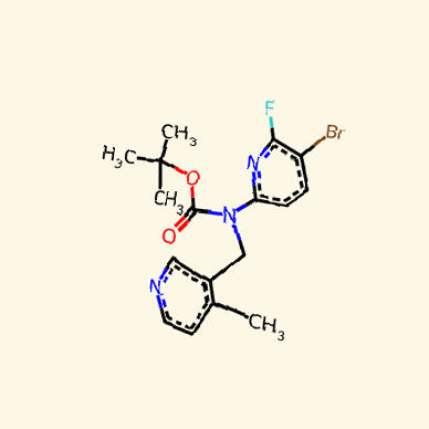 Cc1ccncc1CN(C(=O)OC(C)(C)C)c1ccc(Br)c(F)n1